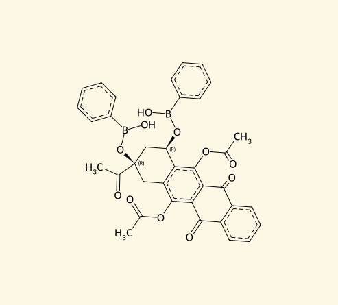 CC(=O)Oc1c2c(c(OC(C)=O)c3c1C(=O)c1ccccc1C3=O)[C@H](OB(O)c1ccccc1)C[C@@](OB(O)c1ccccc1)(C(C)=O)C2